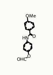 COc1ccc(C(=O)Nc2ccc(OC=O)cc2)cc1